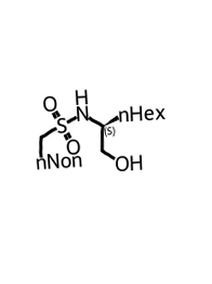 CCCCCCCCCCS(=O)(=O)N[C@H](CO)CCCCCC